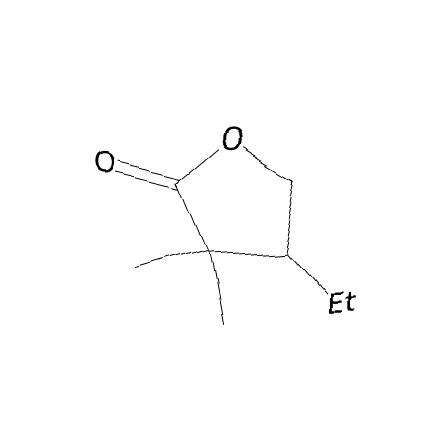 CCC1COC(=O)C1(C)C